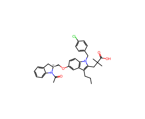 CCCc1c(CC(C)(C)C(=O)O)n(Cc2ccc(Cl)cc2)c2ccc(OC[C@@H]3Cc4ccccc4N3C(C)=O)cc12